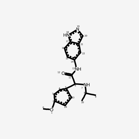 COc1ccc(C(NC(C)C)C(=O)Nc2ccc3[nH]ncc3c2)cc1